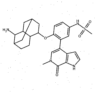 Cn1cc(-c2cc(NS(C)(=O)=O)ccc2OC2CC3CC4CCC2C(C3)C4N)c2cc[nH]c2c1=O